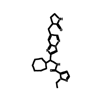 CCn1nccc1C(=O)NC(c1cn2ncc(CC3CCNC3=O)cc2n1)C1CCCCCC1